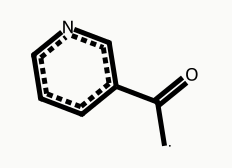 [CH2]C(=O)c1cccnc1